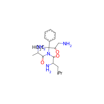 CC(C)CC(N)C(=O)N(C(=O)C(C)N)C(C(=O)O)(C(=O)CN)c1ccccc1